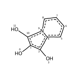 Oc1c(O)c2ccccn2c1O